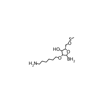 B[C@@H]1O[C@H](COSC)C(O)C1OCCCCCCN